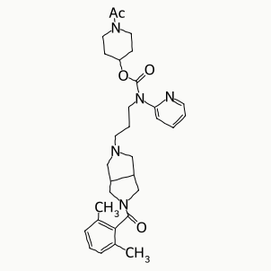 CC(=O)N1CCC(OC(=O)N(CCCN2CC3CN(C(=O)c4c(C)cccc4C)CC3C2)c2ccccn2)CC1